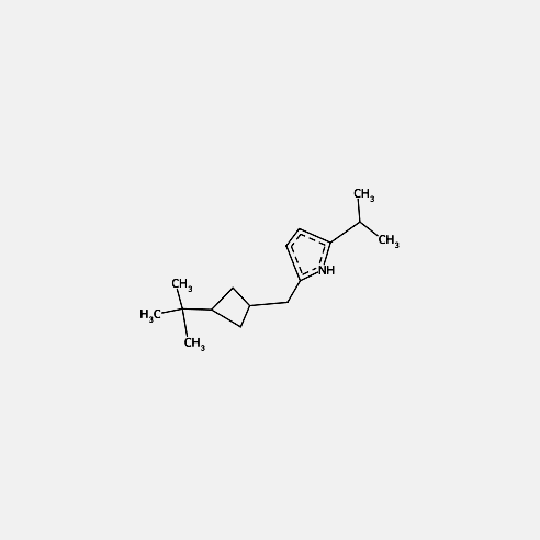 CC(C)c1ccc(CC2CC(C(C)(C)C)C2)[nH]1